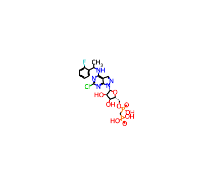 CC(Nc1nc(Cl)nc2c1cnn2[C@@H]1O[C@H](COP(=O)(O)CP(=O)(O)O)[C@@H](O)[C@H]1O)c1ccccc1F